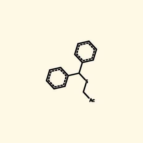 CC(=O)CSC(c1ccccc1)c1ccccc1